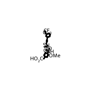 COc1cc(CC(=O)O)ccc1NS(=O)(=O)c1csc(C#Cc2cccc(OC(F)(F)F)c2)n1